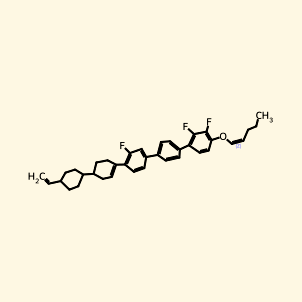 C=CC1CCC(C2CC=C(c3ccc(-c4ccc(-c5ccc(O/C=C\CCC)c(F)c5F)cc4)cc3F)CC2)CC1